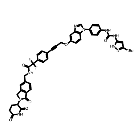 CC(C)(C)c1cc(NC(=O)Nc2ccc(-n3cnc4cc(OCC#Cc5ccc(C(F)(F)C(=O)NCc6ccc7c(c6)CN(C6CCC(=O)NC6=O)C7=O)cc5)ccc43)cc2)[nH]n1